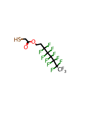 O=C(CS)OCCC(F)(F)C(F)(F)C(F)(F)C(F)(F)C(F)(F)C(F)(F)F